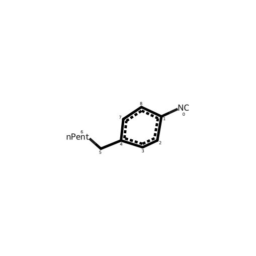 [C-]#[N+]c1ccc(CCCCCC)cc1